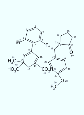 CC(C)c1cccc(F)c1C1=CC(C)(C(=O)O)CC(C(=O)O)=C1.O=C1CCCN1Cc1ccc(OC(F)(F)F)cc1